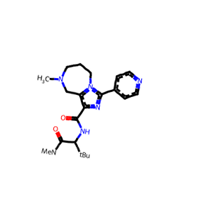 CNC(=O)C(NC(=O)c1nc(-c2ccncc2)n2c1CN(C)CCC2)C(C)(C)C